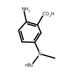 CCCCN(C)c1ccc(N)c(C(=O)O)c1